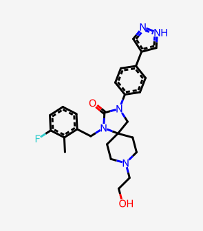 Cc1c(F)cccc1CN1C(=O)N(c2ccc(-c3cn[nH]c3)cc2)CC12CCN(CCO)CC2